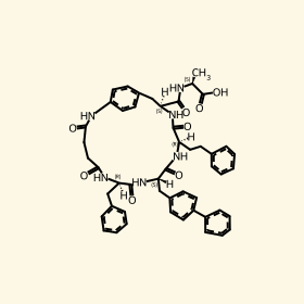 C[C@H](NC(=O)[C@@H]1Cc2ccc(cc2)NC(=O)CCC(=O)N[C@H](Cc2ccccc2)C(=O)N[C@@H](Cc2ccc(-c3ccccc3)cc2)C(=O)N[C@H](CCc2ccccc2)C(=O)N1)C(=O)O